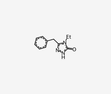 CCn1c(Cc2ccccc2)n[nH]c1=O